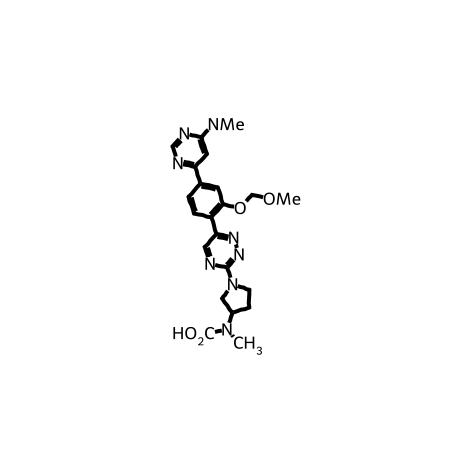 CNc1cc(-c2ccc(-c3cnc(N4CCC(N(C)C(=O)O)C4)nn3)c(OCOC)c2)ncn1